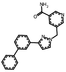 NC(=O)c1cncc(Cn2ccc(-c3cccc(-c4ccccc4)c3)n2)c1